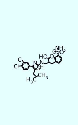 CC(C)Cc1sc(NCC(Cc2cccc(S(N)(=O)=O)c2)C(=O)O)nc1-c1ccc(Cl)c(Cl)c1